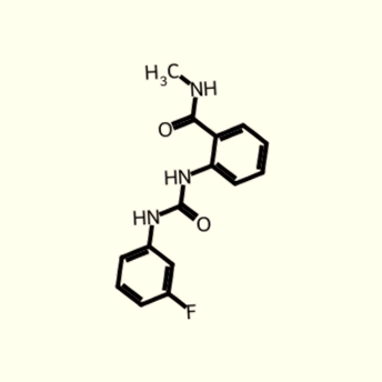 CNC(=O)c1ccccc1NC(=O)Nc1cccc(F)c1